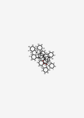 c1ccc2c(c1)-c1ccccc1C21c2ccccc2-c2ccc(N(c3cccc4c3C3(c5ccccc5-c5ccccc53)c3ccccc3-4)c3cccc4c5ccccc5c5ccccc5c34)cc21